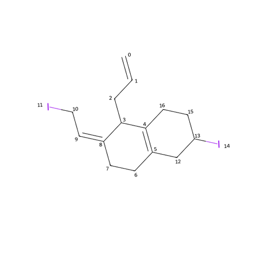 C=CCC1C2=C(CC/C1=C/CI)CC(I)CC2